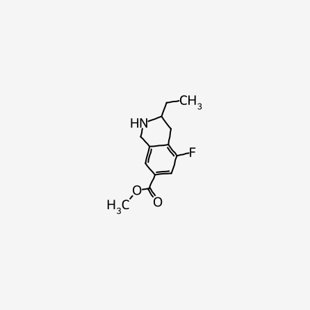 CCC1Cc2c(F)cc(C(=O)OC)cc2CN1